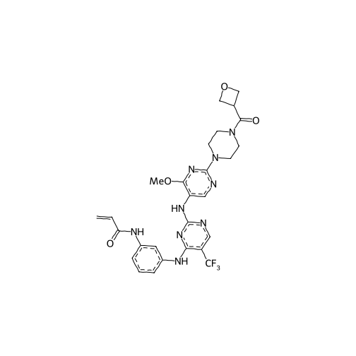 C=CC(=O)Nc1cccc(Nc2nc(Nc3cnc(N4CCN(C(=O)C5COC5)CC4)nc3OC)ncc2C(F)(F)F)c1